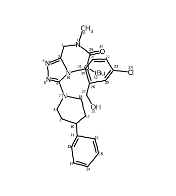 CN(Cc1nnc(N2CCC(c3ccccc3)CC2)n1-c1ccc(Cl)cc1CO)C(=O)OC(C)(C)C